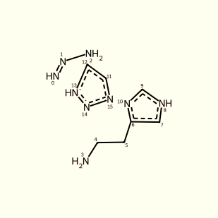 N=NN.NCCc1c[nH]cn1.c1c[nH]nn1